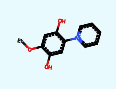 CCOc1cc(O)c(-[n+]2ccccc2)cc1O